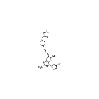 CC(C)OC(=O)CN1CCN(CCCOc2cc3nc(N)nc(-c4cccc(Br)c4)c3cc2N)CC1